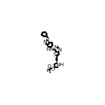 CN(C)C(=O)O[C@H]1CN[C@H](C#Cc2cc3ncnc(Nc4ccc5c(cnn5Cc5ccccc5)c4)c3s2)C1